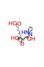 O=C(O)CCCC=CC[C@H]1[C@@H](O)CC(=O)[C@@H]1C=C[C@@H](O)c1nc2ccccc2[nH]1